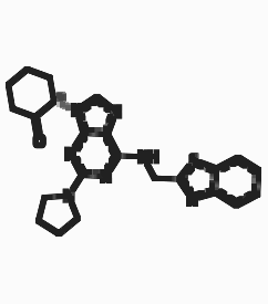 O=C1CCCC[C@@H]1n1cnc2c(NCc3nc4ccccc4s3)nc(N3CCCC3)nc21